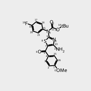 COc1ccc(C(=O)c2sc(N(C(=O)OC(C)(C)C)c3ccc(F)cc3)nc2N)cc1